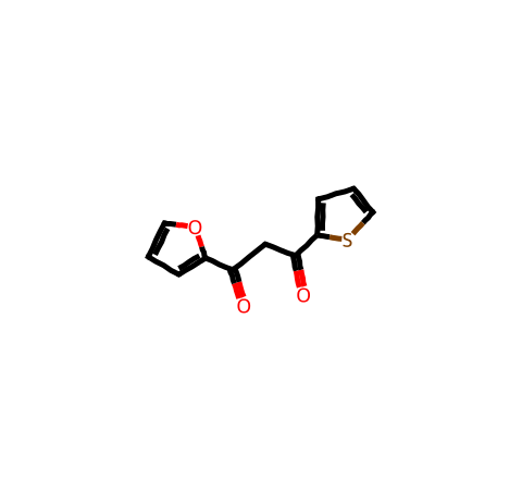 O=C(CC(=O)c1cccs1)c1ccco1